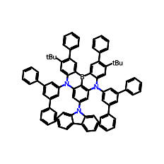 CC(C)(C)c1cc2c(cc1-c1ccccc1)B1c3cc(-c4ccccc4)c(C(C)(C)C)cc3N(c3cc(-c4ccccc4)cc(-c4ccccc4)c3)c3cc(-n4c5ccccc5c5ccccc54)cc(c31)N2c1cc(-c2ccccc2)cc(-c2ccccc2)c1